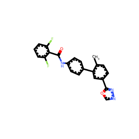 Cc1ccc(-c2nnco2)cc1-c1ccc(NC(=O)c2c(F)cccc2F)cc1